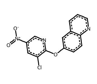 O=[N+]([O-])c1cnc(Oc2ccc3ncccc3c2)c(Cl)c1